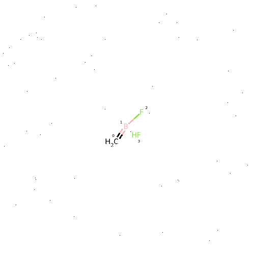 C=BF.F